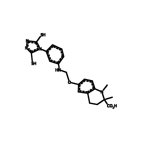 CN1c2ccc(OCNc3cccc(-n4c(S)nnc4S)c3)cc2CCC1(C)C(=O)O